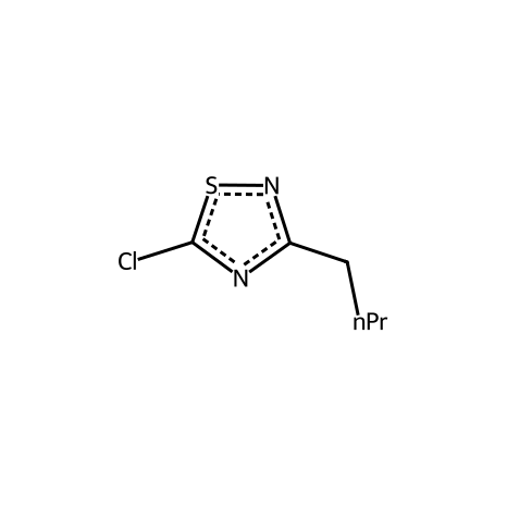 CCCCc1nsc(Cl)n1